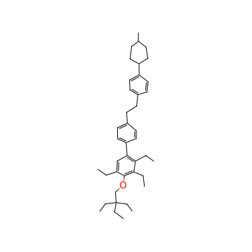 CCc1cc(-c2ccc(CCc3ccc(C4CCC(C)CC4)cc3)cc2)c(CC)c(CC)c1OCC(CC)(CC)CC